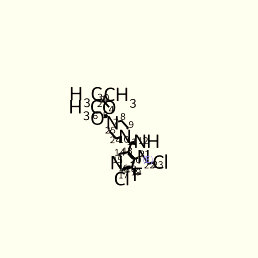 CC(C)(C)OC(=O)N1CCN(C(=N)c2cnc(Cl)c(F)c2/N=C/Cl)CC1